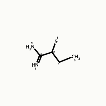 CCC([S])C(=N)N